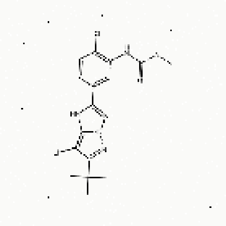 CNC(=O)Nc1cc(-c2nn3nc(C(C)(C)C)c(Cl)c3[nH]2)ccc1Cl